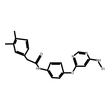 CCNc1cc(Oc2ccc(NC(=O)Cc3ccc(C)c(C)c3)cc2)ncn1